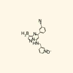 Bc1cnn2c(NCc3ccc[n+]([O-])c3)cc(-c3cccc(C#N)c3)nc12